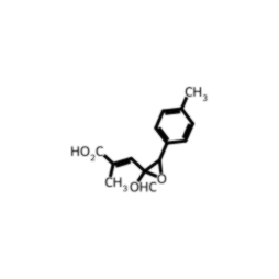 CC(=CC1(C=O)OC1c1ccc(C)cc1)C(=O)O